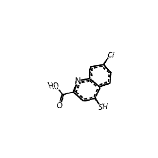 O=C(O)c1cc(S)c2ccc(Cl)cc2n1